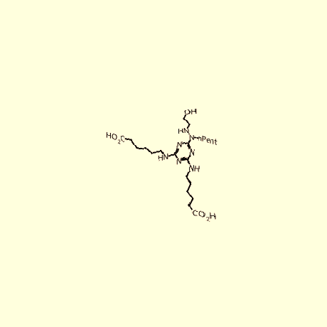 CCCCCN(NCCO)c1nc(NCCCCCC(=O)O)nc(NCCCCCC(=O)O)n1